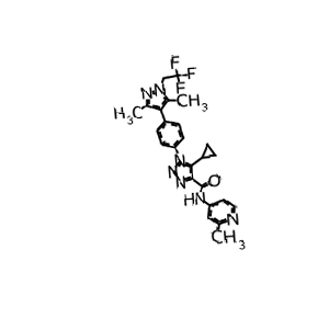 Cc1cc(NC(=O)c2nnn(-c3ccc(-c4c(C)nn(CC(F)(F)F)c4C)cc3)c2C2CC2)ccn1